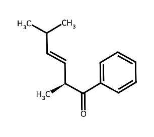 CC(C)/C=C/[C@H](C)C(=O)c1ccccc1